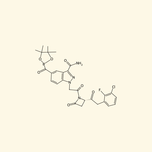 CC1(C)OB(C(=O)c2ccc3c(c2)c(C(N)=O)nn3CC(=O)N2C(=O)C[C@H]2C(=O)Cc2cccc(Cl)c2F)OC1(C)C